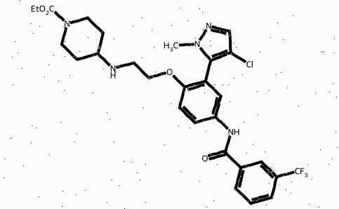 CCOC(=O)N1CCC(NCCOc2ccc(NC(=O)c3cccc(C(F)(F)F)c3)cc2-c2c(Cl)cnn2C)CC1